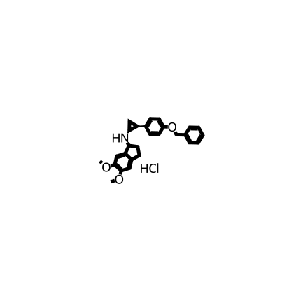 COc1cc2c(cc1OC)C(N[C@@H]1C[C@H]1c1ccc(OCc3ccccc3)cc1)CC2.Cl